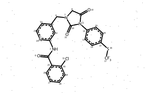 O=C(Nc1cc(CN2CC(=O)N(c3ccc(SC(F)(F)F)cc3)C2=O)ccn1)c1ccccc1Cl